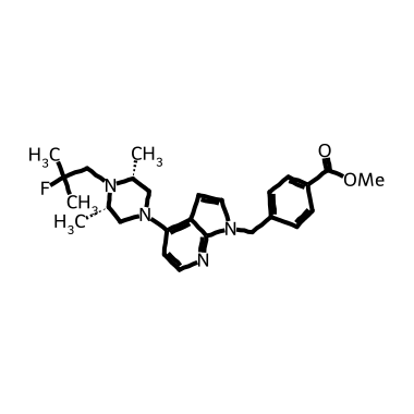 COC(=O)c1ccc(Cn2ccc3c(N4C[C@@H](C)N(CC(C)(C)F)[C@@H](C)C4)ccnc32)cc1